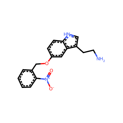 NCCc1c[nH]c2ccc(OCc3ccccc3[N+](=O)[O-])cc12